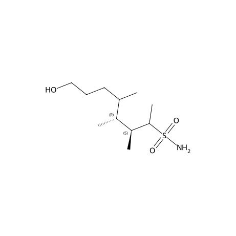 CC(CCCO)[C@@H](C)[C@H](C)C(C)S(N)(=O)=O